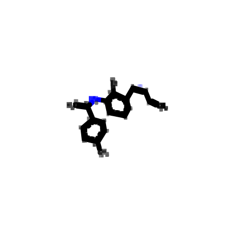 C=C/C=C\c1cccc(NC(=C)c2ccc(C)cc2)c1CC